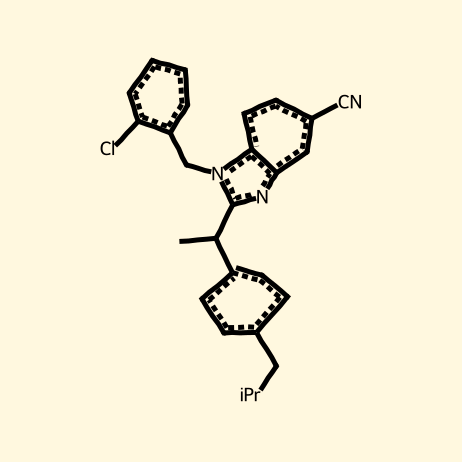 CC(C)Cc1ccc(C(C)c2nc3cc(C#N)ccc3n2Cc2ccccc2Cl)cc1